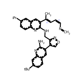 C=N/C=C\C=C(/C)c1cc2cc(C(C)C)ccc2nc1NCc1nocc1-c1cc2ccc(C(C)(C)C)cc2nc1N